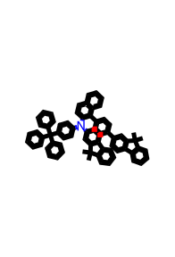 CC1(C)c2ccccc2-c2ccc(-c3ccc(-c4c(N(c5ccc(C(c6ccccc6)(c6ccccc6)c6ccccc6)cc5)c5ccc6c(c5)C(C)(C)c5ccccc5-6)ccc5ccccc45)cc3)cc21